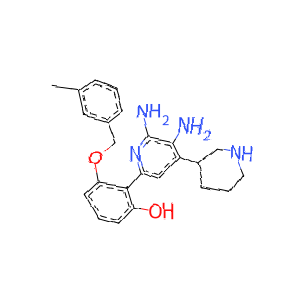 Cc1cccc(COc2cccc(O)c2-c2cc(C3CCCNC3)c(N)c(N)n2)c1